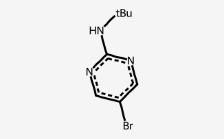 CC(C)(C)Nc1ncc(Br)cn1